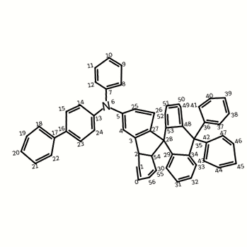 C1=CC2c3cc(N(c4ccccc4)c4ccc(-c5ccccc5)cc4)ccc3C3(c4ccccc4C(c4ccccc4)(c4ccccc4)c4ccccc43)C2C=C1